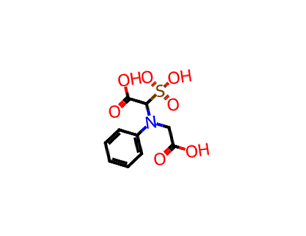 O=C(O)CN(c1ccccc1)C(C(=O)O)S(=O)(=O)O